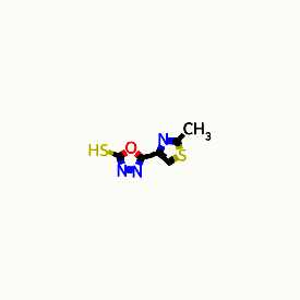 Cc1nc(-c2nnc(S)o2)cs1